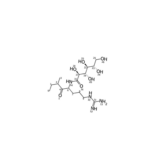 CCC(C)C(=O)C(CCCNC(=N)N)NC(=O)[C@@H](O)[C@@H](O)[C@@H](O)[C@@H](O)CO